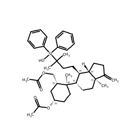 C=C1CC[C@H]2[C@H](CCC(C)(C)[Si](O)(c3ccccc3)c3ccccc3)[C@@H]([C@@]3(C)CC[C@H](OC(C)=O)C[C@@H]3COC(C)=O)CC[C@]12C